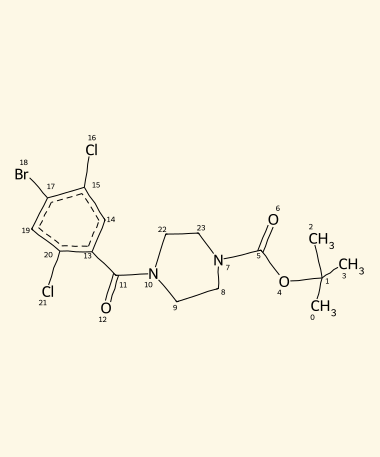 CC(C)(C)OC(=O)N1CCN(C(=O)c2cc(Cl)c(Br)cc2Cl)CC1